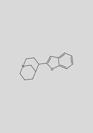 c1ccc2oc(C3CCN4CCCC3C4)cc2c1